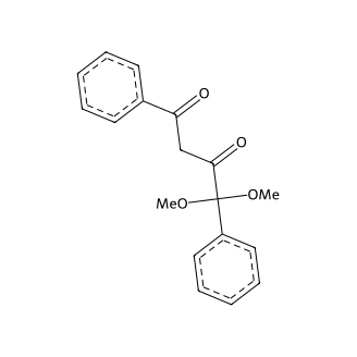 COC(OC)(C(=O)CC(=O)c1ccccc1)c1ccccc1